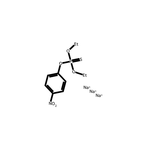 CCOP(=S)(OCC)Oc1ccc([N+](=O)[O-])cc1.[Na+].[Na+].[Na+]